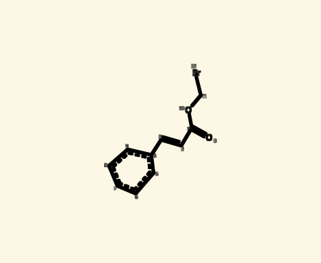 O=C(C=Cc1ccccc1)OCBr